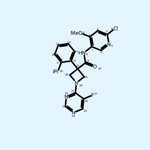 COc1cc(Cl)ncc1NC(=O)C1(c2ccccc2C(C)C)CN(c2ncncc2F)C1